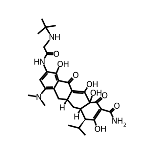 CC(C)[C@@H]1C(O)=C(C(N)=O)C(=O)C2(O)C(O)=C3C(=O)c4c(O)c(NC(=O)CNC(C)(C)C)cc(N(C)C)c4C[C@H]3C[C@@H]12